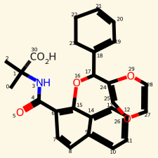 CC(C)(NC(=O)c1ccc2ccccc2c1OC(C1=CC=CCC1)C1=COC=CO1)C(=O)O